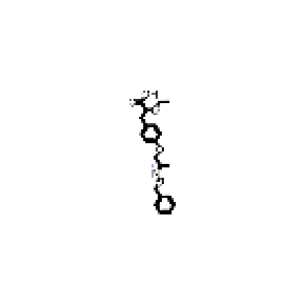 CCOC(Cc1ccc(OC/C(C)=N/OCc2ccccc2)cc1)C(=O)O